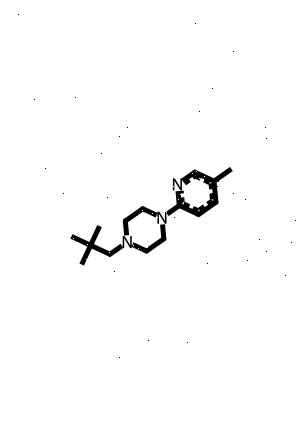 Cc1ccc(N2CCN(CC(C)(C)C)CC2)nc1